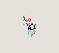 O=C(CCl)Nc1cccc(C(F)(F)F)n1